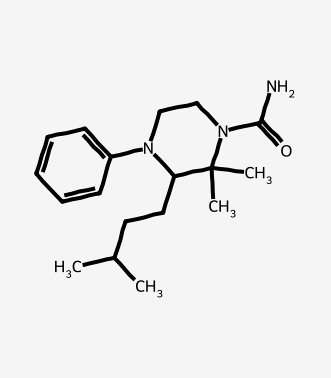 CC(C)CCC1N(c2ccccc2)CCN(C(N)=O)C1(C)C